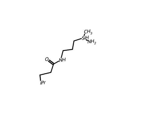 CC(C)CCC(=O)NCCC[SiH](C)N